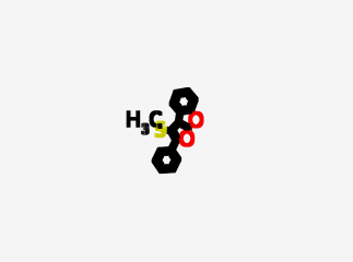 CSC1=C(c2ccccc2)OC2Oc3ccccc3C12